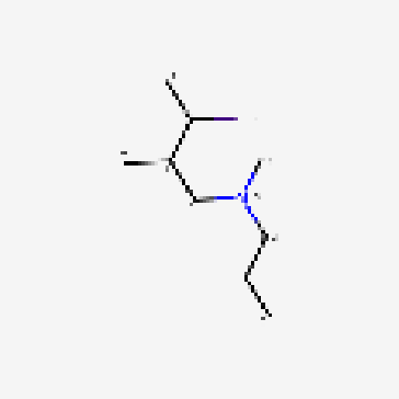 CCCN(C)CC(C)C(C)I